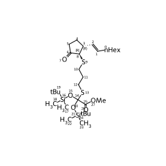 CCCCCCC=C[C@H]1CCC(=O)[C@@H]1SCCCSC(O[Si](C)(C)C(C)(C)C)(O[Si](C)(C)C(C)(C)C)C(=O)OC